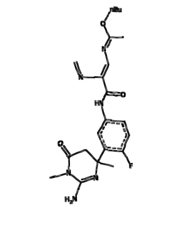 C=N/C(=C\N=C(/C)OCCCC)C(=O)Nc1ccc(F)c(C2(C)CC(=O)N(C)C(N)=N2)c1